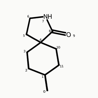 CC1CCC2(CCNC2=O)CC1